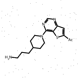 CC(=O)c1cc2ncnc(N3CCC(CCCN)CC3)c2s1